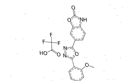 COc1ccccc1-c1nnc(-c2ccc3[nH]c(=O)oc3c2)o1.O=C(O)C(F)(F)F